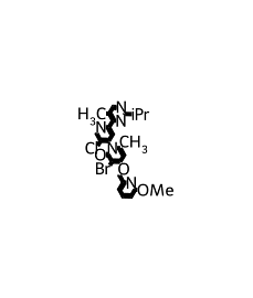 COc1cccc(COc2cc(C)n(-c3cc(-c4nc(C(C)C)ncc4C)ncc3Cl)c(=O)c2Br)n1